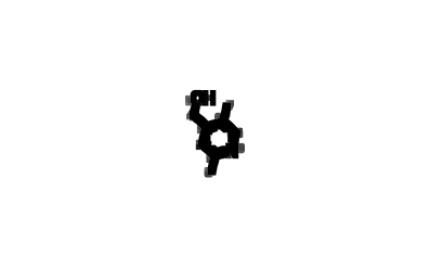 Cc1cc(CO)c(C)cn1